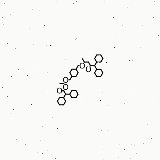 CC(CC(=O)C(C1CCCCC1)C1CCCCC1)OCC1CCC(COC(C)OC(=O)C(C2CCCCC2)C2CCCCC2)CC1